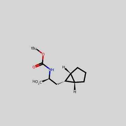 CC(C)(C)OC(=O)N[C@@H](C[C@@H]1[C@@H]2CCC[C@@H]21)C(=O)O